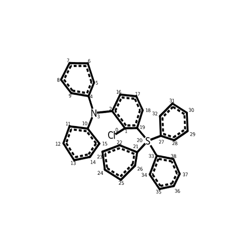 Clc1c(N(c2ccccc2)c2ccccc2)cccc1S(c1ccccc1)(c1ccccc1)c1ccccc1